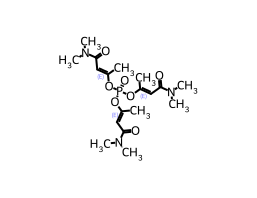 C/C(=C\C(=O)N(C)C)OP(=O)(O/C(C)=C/C(=O)N(C)C)O/C(C)=C/C(=O)N(C)C